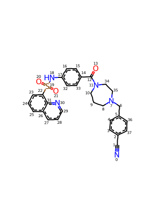 N#Cc1ccc(CN2CCCN(C(=O)c3ccc(NS(=O)(=O)c4cccc5cccnc45)cc3)CC2)cc1